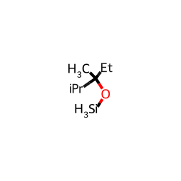 CCC(C)(O[SiH3])C(C)C